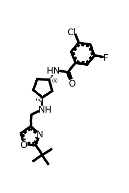 CC(C)(C)c1nc(CN[C@H]2CC[C@H](NC(=O)c3cc(F)cc(Cl)c3)C2)co1